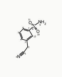 N#CCc1cccc(S(N)(=O)=O)c1